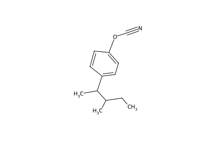 CCC(C)C(C)c1ccc(OC#N)cc1